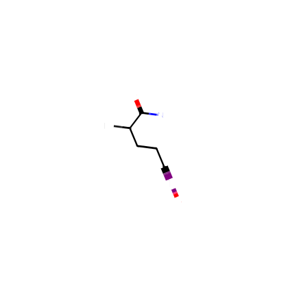 CCC(CCC#P=O)C(N)=O